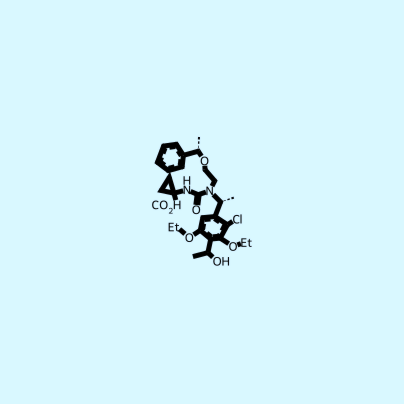 CCOc1cc([C@@H](C)N(CCO[C@@H](C)c2ccccc2)C(=O)NC2(C(=O)O)CC2)c(Cl)c(OCC)c1C(C)O